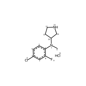 CN(c1ccc(Cl)cc1F)C1CCNC1.Cl